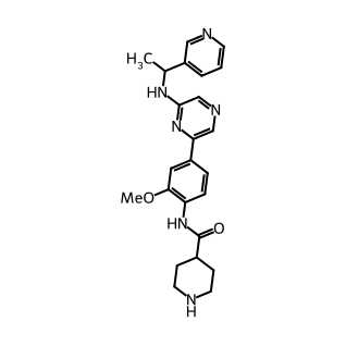 COc1cc(-c2cncc(NC(C)c3cccnc3)n2)ccc1NC(=O)C1CCNCC1